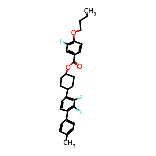 CCCCOc1ccc(C(=O)OC2CCC(c3ccc(-c4ccc(C)cc4)c(F)c3F)CC2)cc1F